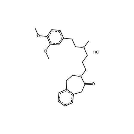 COc1ccc(CCN(C)CCCN2CCc3ccccc3CC2=O)cc1OC.Cl